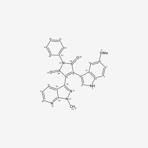 COc1ccc2[nH]cc(C3=C(c4nn(C)c5ncccc45)C(=O)N(c4ccccc4)C3=O)c2c1